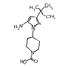 CC(C)(C)c1cc(N)n(C2CCN(C(=O)O)CC2)n1